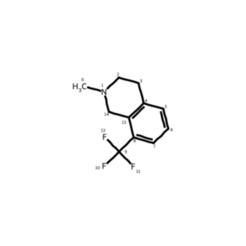 CN1CCc2cccc(C(F)(F)F)c2C1